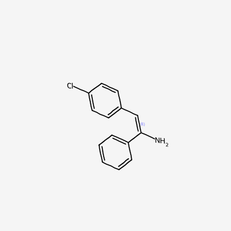 N/C(=C/c1ccc(Cl)cc1)c1ccccc1